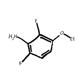 CCOc1ccc(F)c(N)c1F